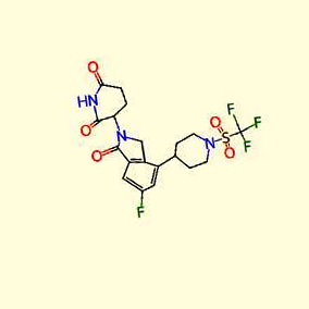 O=C1CCC(N2Cc3c(cc(F)cc3C3CCN(S(=O)(=O)C(F)(F)F)CC3)C2=O)C(=O)N1